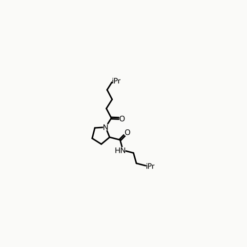 CC(C)CCCC(=O)N1CCCC1C(=O)NCCC(C)C